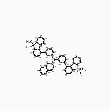 CC1(C)c2ccccc2-c2c(-c3cccc(N(c4cccc(-c5cccc6c5-c5ccccc5C6(C)C)c4)c4ccc5ccccc5c4)c3)cccc21